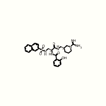 N=C(N)N1CCC[C@@H](CNC(=O)[C@H](CNS(=O)(=O)c2ccc3ccccc3c2)NC(=O)c2ccccc2O)C1